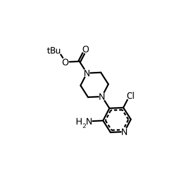 CC(C)(C)OC(=O)N1CCN(c2c(N)cncc2Cl)CC1